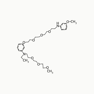 CCN(CCOCCOCCOC)c1cccc(OCCOCCOCCOCCNc2cccc(OC)c2)c1